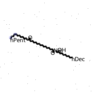 CCCCC/C=C\C/C=C\CCCCCCCC(=O)CCCCCCCCCCCCCCC(=O)NC[C@@H](O)CCCCCCCCCCCCCCCCCC